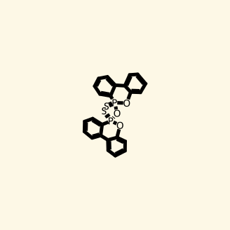 S=P1(OP2(=S)Oc3ccccc3-c3ccccc32)Oc2ccccc2-c2ccccc21